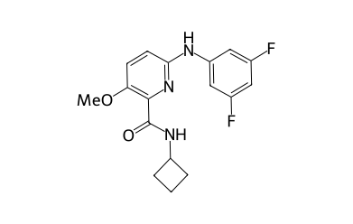 COc1ccc(Nc2cc(F)cc(F)c2)nc1C(=O)NC1CCC1